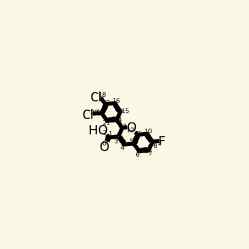 O=C(O)C1=Cc2ccc(F)cc2OC1c1ccc(Cl)c(Cl)c1